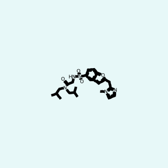 CC(C)CN(CC(C)C)C(=O)CNS(=O)(=O)c1ccc2oc(Cc3nccn3C)cc2c1